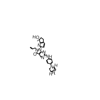 C=CCn1c(=O)c2cnc(Nc3ccc(N4C[C@@H]5C[C@H]4CN5C)cc3)nc2n1-c1ccc2c(n1)[C@](C)(O)CC2